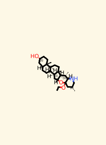 CCO[C@]12C[C@@H](C)CN[C@@H]1[C@@H](C)[C@H]1[C@@H](C[C@H]3[C@@H]4CC[C@H]5C[C@@H](O)CC[C@]5(C)[C@H]4CC[C@]13C)O2